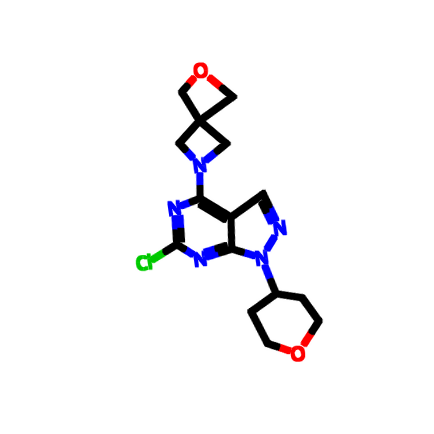 Clc1nc(N2CC3(COC3)C2)c2cnn(C3CCOCC3)c2n1